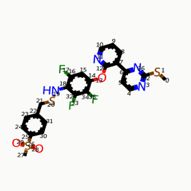 CSc1nccc(-c2cccnc2Oc2cc(F)c(NSCc3ccc(S(C)(=O)=O)cc3)c(F)c2F)n1